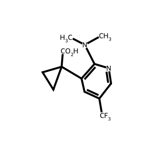 CN(C)c1ncc(C(F)(F)F)cc1C1(C(=O)O)CC1